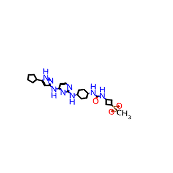 CS(=O)(=O)C1CC(NC(=O)N[C@H]2CC[C@H](Nc3nccc(Nc4cc(C5CCCC5)[nH]n4)n3)CC2)C1